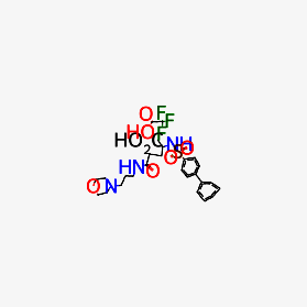 O=C(CCC(NS(=O)(=O)c1ccc(-c2ccccc2)cc1)C(=O)O)NCCCN1CCOCC1.O=C(O)C(F)(F)F